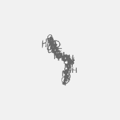 CC(C)n1nc(N2CCC(N3CCN(Cc4cc5c(cc4F)C(=O)N(C4CCC(=O)NC4=O)C5=O)CC3)CC2)c2cnc(Nc3ccnc(-c4cnn(S(=O)(=O)C5CC5)c4)n3)cc21